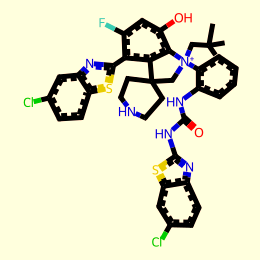 CC(C)(C)C[N+]1(c2ccccc2NC(=O)Nc2nc3ccc(Cl)cc3s2)CC2(CCNCC2)c2c(-c3nc4cc(Cl)ccc4s3)c(F)cc(O)c21